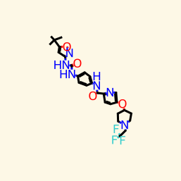 CC(C)(C)c1cc(NC(=O)Nc2ccc(NC(=O)c3ccc(OC4CCN(CC(F)(F)F)CC4)cn3)cc2)no1